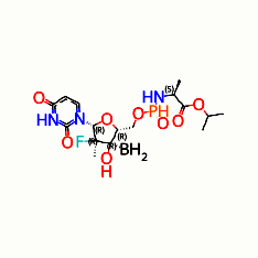 B[C@@]1(O)[C@@H](CO[PH](=O)N[C@@H](C)C(=O)OC(C)C)O[C@@H](n2ccc(=O)[nH]c2=O)[C@]1(C)F